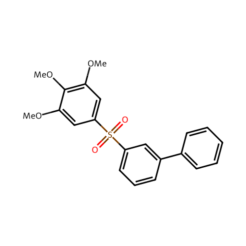 COc1cc(S(=O)(=O)c2cccc(-c3ccccc3)c2)cc(OC)c1OC